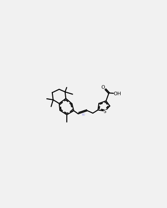 Cc1cc2c(cc1/C=C/Cc1cc(C(=O)O)cs1)C(C)(C)CCC2(C)C